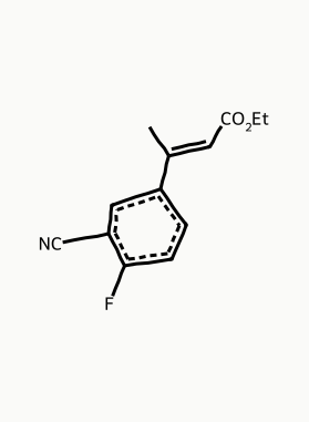 CCOC(=O)/C=C(\C)c1ccc(F)c(C#N)c1